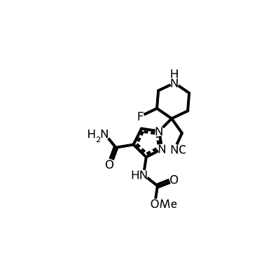 COC(=O)Nc1nn(C2(CC#N)CCNCC2F)cc1C(N)=O